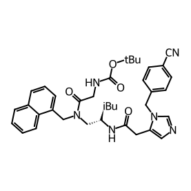 CC[C@H](C)[C@@H](CN(Cc1cccc2ccccc12)C(=O)CNC(=O)OC(C)(C)C)NC(=O)Cc1cncn1Cc1ccc(C#N)cc1